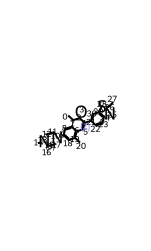 CCC(=O)/C(=C\c1ccc(N2CCN(C)[C@@H](C)C2)cc1C)c1ccc2nc(C)sc2c1